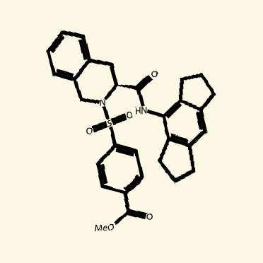 COC(=O)c1ccc(S(=O)(=O)N2Cc3ccccc3C[C@H]2C(=O)Nc2c3c(cc4c2CCC4)CCC3)cc1